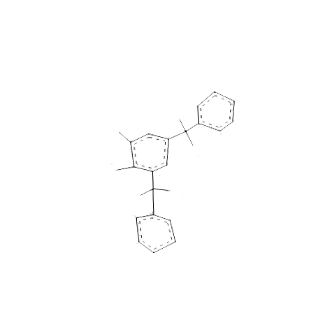 [CH2]c1cc(C(C)(C)c2ccccc2)cc(C(C)(C)c2ccccc2)c1O